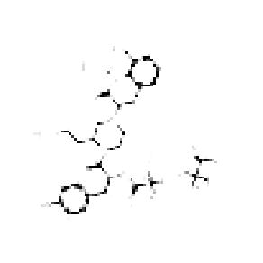 CCCC1CN(C(Cc2cccc(Cl)c2)C(=O)NC)CCN1C(=O)C(Cc1ccc(F)cc1)NC(=O)C(C)(C)O.O=C(O)C(F)(F)F